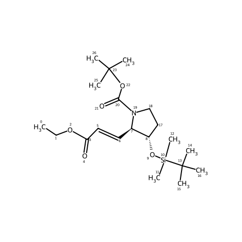 CCOC(=O)/C=C/[C@@H]1[C@@H](O[Si](C)(C)C(C)(C)C)CCN1C(=O)OC(C)(C)C